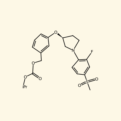 CC(C)OC(=O)OCc1cccc(O[C@H]2CCN(c3ccc(S(C)(=O)=O)cc3F)C2)c1